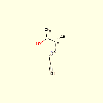 C#C/C=C/[C@@H](C)C(C)O